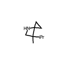 CC(C)C1(C)CNC12CC2